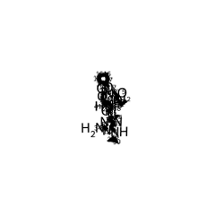 CC(C)OC(=O)[C@@H](C)N[P@@](=O)(Oc1ccccc1)OC1[C@H]2O[C@@H](n3cnc4c(NC5CC5)nc(N)nc43)[C@@H](F)[C@@]12O